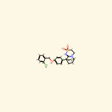 O=S1(=O)CCN2C(=N1)C1(c3ccc(OCc4ccccc4Cl)cc3)CCC2CC1